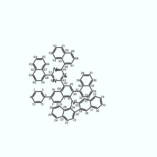 c1ccc(-c2ccc3c(-n4c5cc6ccccc6cc5c5ccc6ccccc6c54)c(-c4cccc5ccccc45)cc(-c4nc(-c5cccc6ccccc56)nc(-c5cccc6ccccc56)n4)c3c2)cc1